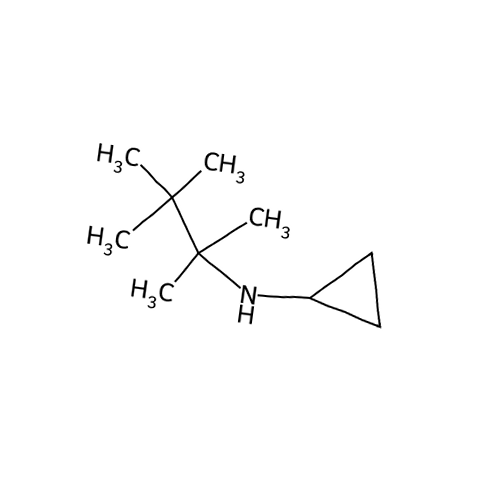 CC(C)(C)C(C)(C)NC1CC1